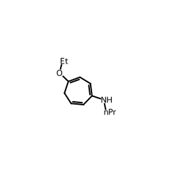 CCCNC1=CC=C(OCC)CC=C1